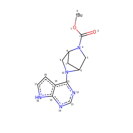 CC(C)(C)OC(=O)N1CC2CC1CN2c1ncnc2[nH]ccc12